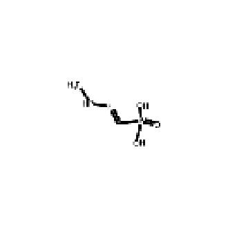 O=P(O)(O)C=PPP